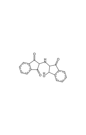 O=C1c2ccccc2C(=O)C1NC1C(=O)c2ccccc2C1O